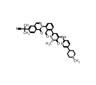 CN1CCC(c2ccc(Nc3cc(-c4cccc(-n5ncc6cc(C(C)(C)C#N)ccc6c5=O)c4C=O)nn(C)c3=O)nc2)CC1